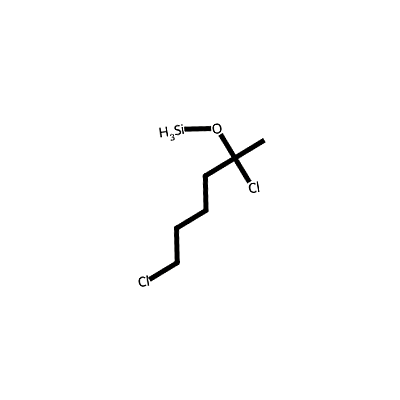 CC(Cl)(CCCCCl)O[SiH3]